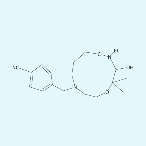 CCN1CCCCN(Cc2ccc(C#N)cc2)CCOC(C)(C)C1O